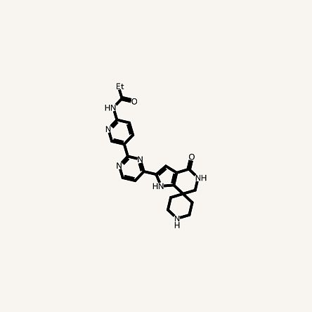 CCC(=O)Nc1ccc(-c2nccc(-c3cc4c([nH]3)C3(CCNCC3)CNC4=O)n2)cn1